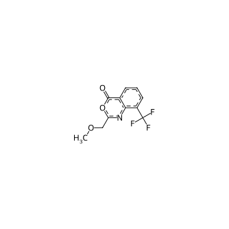 COCc1nc2c(C(F)(F)F)cccc2c(=O)o1